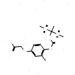 Cc1cc(OCC(N)=O)ccc1NC(=O)OC(C)(S(C)(=O)=O)S(C)(=O)=O